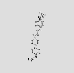 CC[SiH]1CCC([C@H]2CC[C@H](CCCCc3ccc(OC(F)(F)F)cc3)CC2)CC1